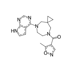 Cc1oncc1C(=O)N1CCN(c2ncnc3[nH]ccc23)CC2(CC2)C1